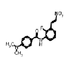 CN(C)c1ccc(C(=O)Nc2cccc(C=C[N+](=O)[O-])c2F)cc1